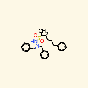 CC(CCCCc1ccccc1)S(=O)(=O)NN(Cc1ccccc1)Cc1ccccc1